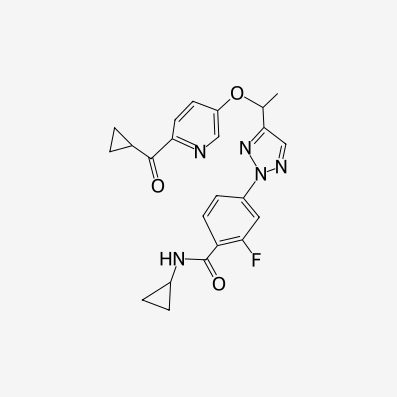 CC(Oc1ccc(C(=O)C2CC2)nc1)c1cnn(-c2ccc(C(=O)NC3CC3)c(F)c2)n1